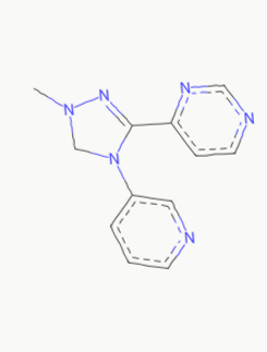 CN1CN(c2cccnc2)C(c2ccncn2)=N1